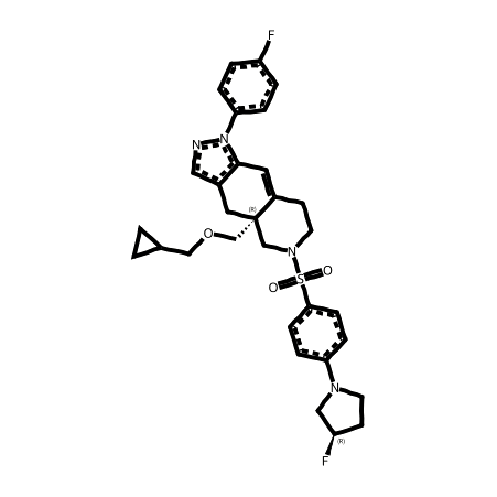 O=S(=O)(c1ccc(N2CC[C@@H](F)C2)cc1)N1CCC2=Cc3c(cnn3-c3ccc(F)cc3)C[C@]2(COCC2CC2)C1